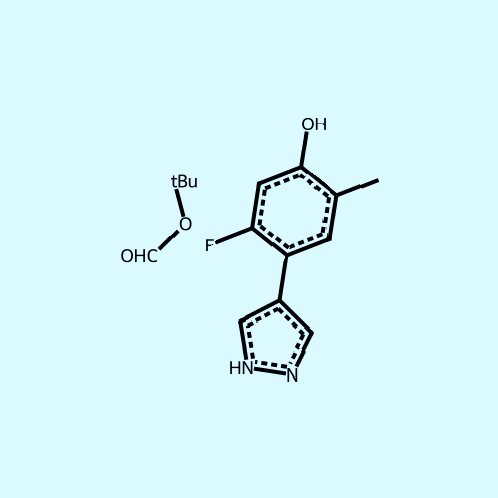 CC(C)(C)OC=O.Cc1cc(-c2cn[nH]c2)c(F)cc1O